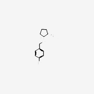 N[C@H]1CCC[C@H]1OCc1ccc(Br)cc1